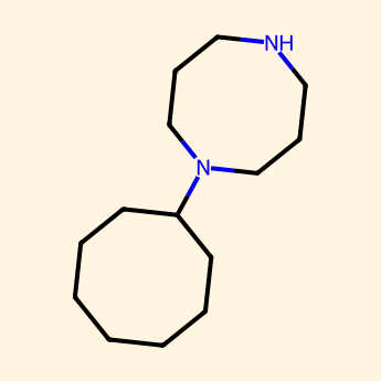 C1CCCC(N2CCCNCCC2)CCC1